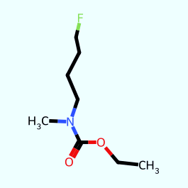 CCOC(=O)N(C)CCCCF